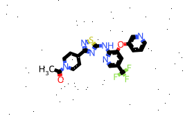 CC(=O)N1CCC(c2nsc(Nc3ncc(C(F)(F)F)cc3Oc3cccnc3)n2)CC1